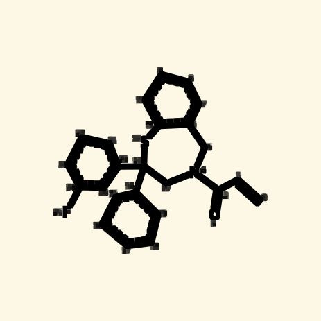 C=CC(=O)N1Cc2ccccc2SC(c2ccccc2)(c2cccc(F)c2)C1